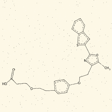 Cc1oc(-c2cc3ccccc3s2)nc1CCOc1ccc(CCOCCC(=O)O)cc1